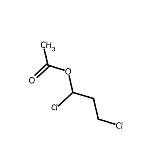 CC(=O)OC(Cl)CCCl